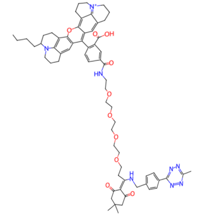 CCCCC1CCc2c3c(cc4c2N1CCC4)C(c1ccc(C(=O)NCCOCCOCCOCCOCCC(NCc2ccc(-c4nnc(C)nn4)cc2)=C2C(=O)CC(C)(C)CC2=O)cc1C(=O)O)=c1cc2c4c(c1O3)CCC[N+]=4CCC2